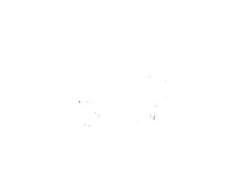 CCCCCCN(CCCCCC)CCc1c[nH]c2cccc(O)c12